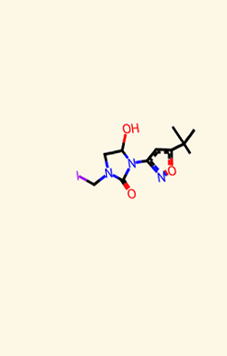 CC(C)(C)c1cc(N2C(=O)N(CI)CC2O)no1